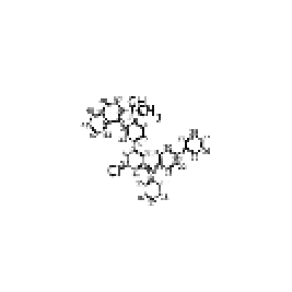 CC1(C)c2ccc(-c3cc(Cl)cc(N(c4ccccc4)c4ccc(-c5ccccc5)cc4)c3)cc2-c2c1ccc1ccccc21